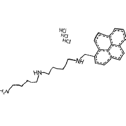 Cl.Cl.Cl.NCCCCNCCCCNCc1ccc2ccc3cccc4ccc1c2c34